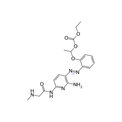 CCOC(=O)OC(C)Oc1ccccc1/N=N/c1ccc(NC(=O)CNC)nc1N